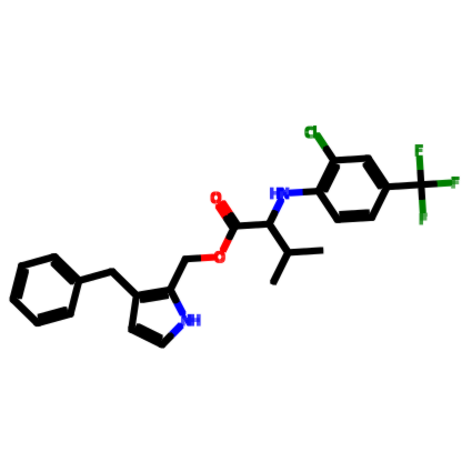 CC(C)C(Nc1ccc(C(F)(F)F)cc1Cl)C(=O)OCc1[nH]ccc1Cc1ccccc1